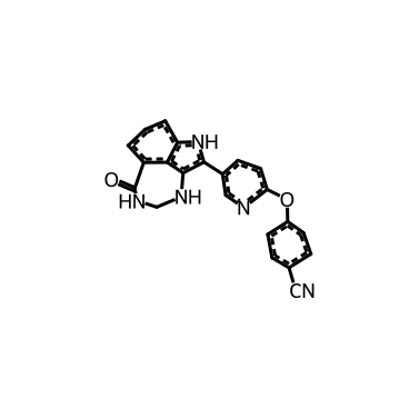 N#Cc1ccc(Oc2ccc(-c3[nH]c4cccc5c4c3NCNC5=O)cn2)cc1